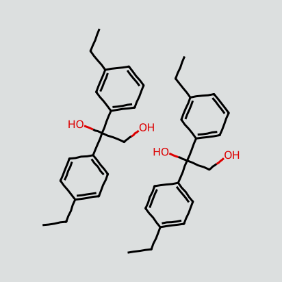 CCc1ccc(C(O)(CO)c2cccc(CC)c2)cc1.CCc1ccc(C(O)(CO)c2cccc(CC)c2)cc1